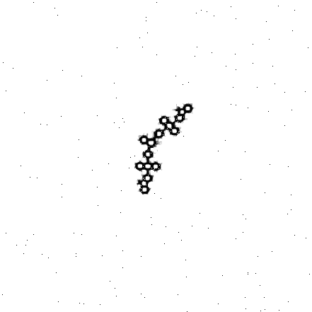 CC1(C)c2ccccc2-c2ccc(-c3c4ccccc4c(-c4ccc5c(c4)sc4c6sc7cc(-c8c9ccccc9c(-c9ccc%10c(c9)C(C)(C)c9ccccc9-%10)c9ccccc89)ccc7c6c6ccccc6c54)c4ccccc34)cc21